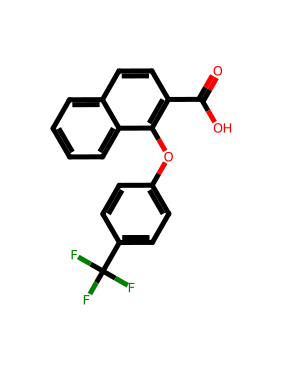 O=C(O)c1ccc2ccccc2c1Oc1ccc(C(F)(F)F)cc1